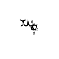 CC(C)N(C)CC(=O)N1C[C@H]2C[C@@H]1CO2